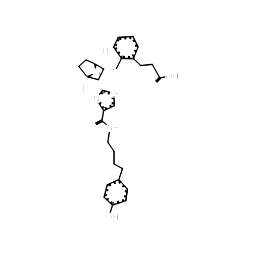 O=C(O)CCc1ccccc1C[C@@H]1[C@H](c2nc(C(=O)NCCCCc3ccc(O)cc3)co2)[C@H]2CC[C@@H]1O2